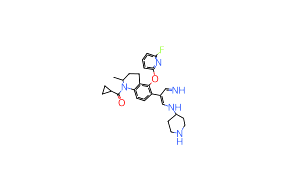 CC1CCc2c(ccc(/C(C=N)=C/NC3CCNCC3)c2Oc2cccc(F)n2)N1C(=O)C1CC1